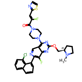 CN1CCC[C@@H]1COc1nc(N2CCN(C(=O)C(F)=Cc3nccs3)CC2)c2cnc(-c3cccc4cccc(Cl)c34)c(F)c2n1